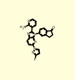 Nc1ncccc1-c1nc2ccc(-n3ccc(F)n3)nc2n1-c1ccc2c(c1)CCC2=O